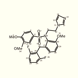 COc1ccc(S(=O)(=O)N(CCn2ccnc2)c2c(Cc3c(F)cccc3F)cccc2OC)cc1OC